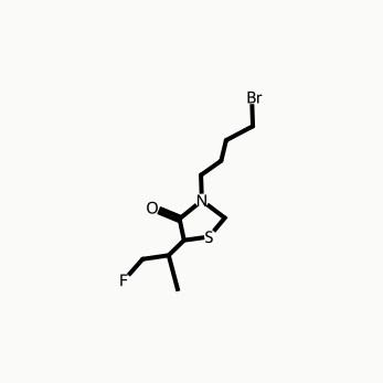 CC(CF)C1SCN(CCCCBr)C1=O